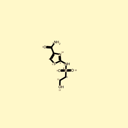 NC(=O)c1csc(NS(=O)(=O)CCO)n1